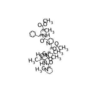 CC[C@H](C)[C@H](NC(=O)[C@H]1CCCCN1C)C(=O)N(C)[C@H](C[C@@H](OC(C)=O)c1cccc(C(=O)N[C@@H](Cc2ccccc2)C[C@H](C)C(=O)OC)n1)C(C)C